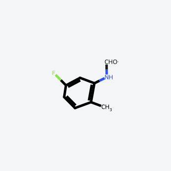 Cc1ccc(F)cc1N[C]=O